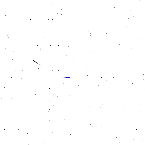 Cl.Nc1ccn([C@H]2CC[C@@H](CO)O2)c(=O)n1